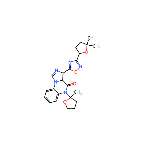 CC1(C)CCC(c2noc(C3N=CN4c5ccccc5N(C5(C)CCCO5)C(=O)C34)n2)O1